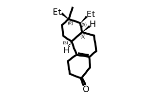 CC[C@H]1[C@@H]2CCC3=C(CCC(=O)C3)[C@H]2CC[C@@]1(C)CC